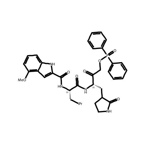 COc1cccc2[nH]c(C(=O)N[C@@H](CC(C)C)C(=O)N[C@@H](CC3CCNC3=O)C(=O)COP(=O)(c3ccccc3)c3ccccc3)cc12